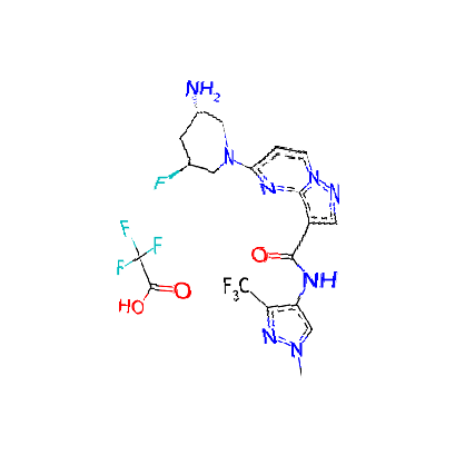 Cn1cc(NC(=O)c2cnn3ccc(N4C[C@@H](N)C[C@H](F)C4)nc23)c(C(F)(F)F)n1.O=C(O)C(F)(F)F